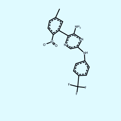 Cc1ccc([N+](=O)[O-])c(-c2ncc(Nc3ccc(C(F)(F)F)cc3)nc2N)c1